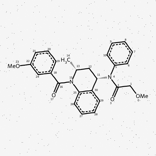 COCC(=O)N(c1ccccc1)[C@H]1C[C@@H](C)N(C(=O)c2cccc(OC)c2)c2ccccc21